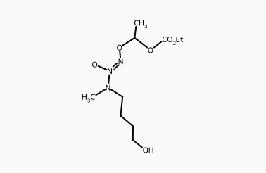 CCOC(=O)OC(C)O/N=[N+](\[O-])N(C)CCCCO